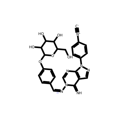 [C-]#[N+]c1ccc(-n2ncc3c(=N)n(/N=C\c4ccc(OC5OC(CO)C(O)C(O)C5O)cc4)cnc32)cc1